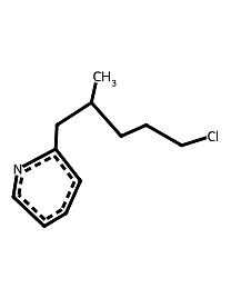 CC(CCCCl)Cc1ccccn1